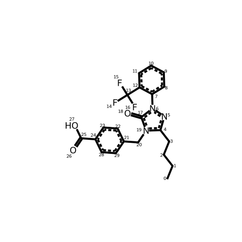 CCCCc1nn(-c2ccccc2C(F)(F)F)c(=O)n1Cc1ccc(C(=O)O)cc1